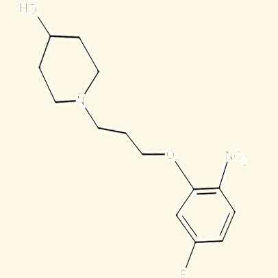 O=[N+]([O-])c1ccc(F)cc1OCCCN1CCC(O)CC1